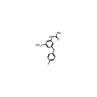 CC(C)(C)C(=O)Nc1cc(Cc2ccc(F)cc2)cc(C(=O)O)c1